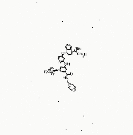 CC(C)[Si](C#Cc1cc(Nc2cc(Oc3ccc(N(C(=O)O)C(C)(C)C)c4ccccc34)ccn2)cc(C(=O)NCCN2CCOCC2)c1)(C(C)C)C(C)C